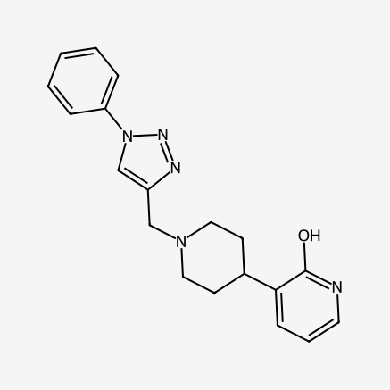 Oc1ncccc1C1CCN(Cc2cn(-c3ccccc3)nn2)CC1